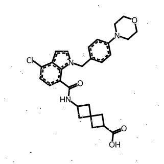 O=C(NC1CC2(C1)CC(C(=O)O)C2)c1ccc(Cl)c2ccn(Cc3ccc(N4CCOCC4)cc3)c12